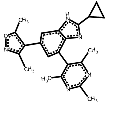 Cc1nc(C)c(-c2cc(-c3c(C)noc3C)cc3[nH]c(C4CC4)nc23)c(C)n1